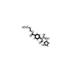 CCCCCCCCCCCCOC(=O)c1ccc(N(C(=O)[C@@H]2CCCN2)S(=O)O)cc1